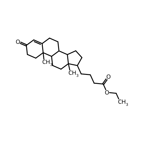 CCOC(=O)CCCC1CCC2C3CCC4=CC(=O)CCC4(C)C3CCC12C